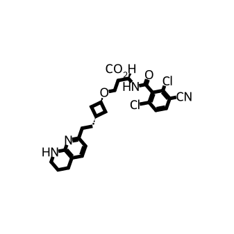 N#Cc1ccc(Cl)c(C(=O)N[C@@H](CCO[C@H]2C[C@@H](CCc3ccc4c(n3)NCCC4)C2)C(=O)O)c1Cl